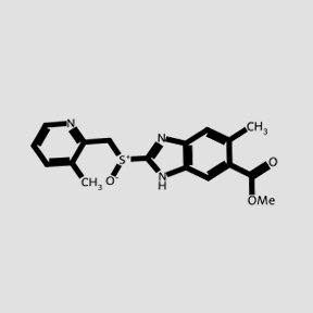 COC(=O)c1cc2[nH]c([S+]([O-])Cc3ncccc3C)nc2cc1C